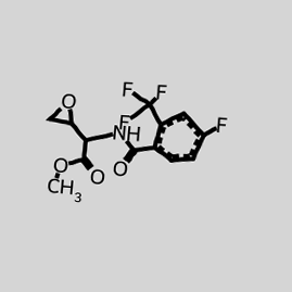 COC(=O)C(NC(=O)c1ccc(F)cc1C(F)(F)F)C1CO1